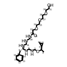 CC(OCNCN[C@H](Cc1ccccc1)NCNCNC(=O)COCCOCCOCCO)C1CC1